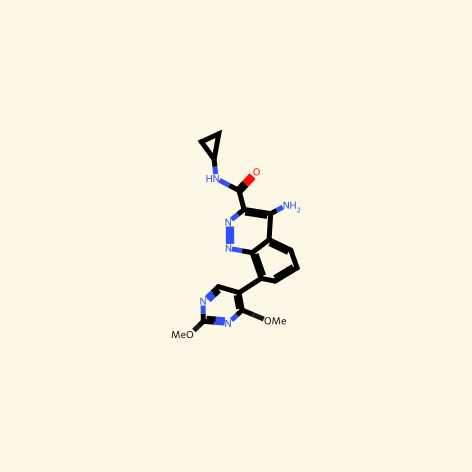 COc1ncc(-c2cccc3c(N)c(C(=O)NC4CC4)nnc23)c(OC)n1